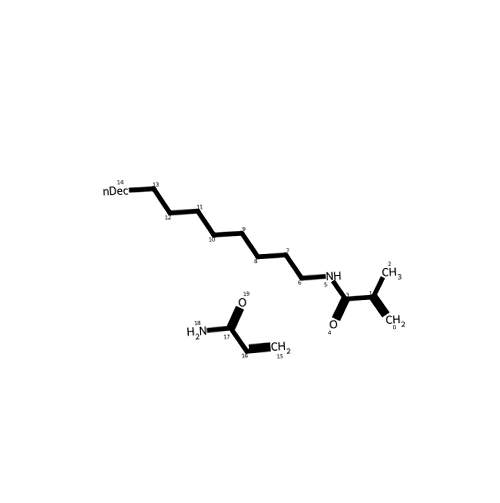 C=C(C)C(=O)NCCCCCCCCCCCCCCCCCC.C=CC(N)=O